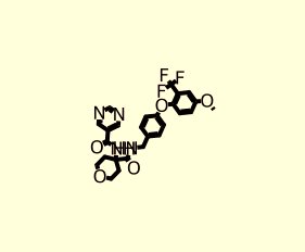 COc1ccc(Oc2ccc(CNC(=O)C3(NC(=O)c4cncnc4)CCOCC3)cc2)c(C(F)(F)F)c1